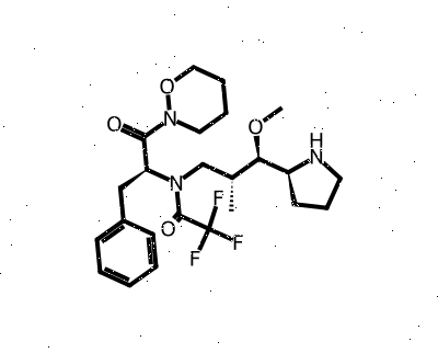 CO[C@H]([C@H](C)CN(C(=O)C(F)(F)F)[C@@H](Cc1ccccc1)C(=O)N1CCCCO1)[C@@H]1CCCN1